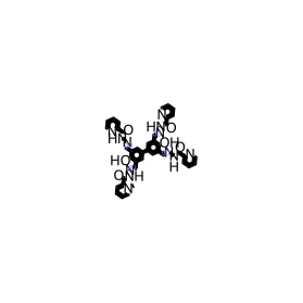 CN1CC=CC=C1C(=O)N/N=C/c1cc(-c2cc(/C=N/NC(=O)c3ccccn3)c(O)c(/C=N/NC(=O)c3ccccn3)c2)cc(/C=N/NC(=O)c2ccccn2)c1O